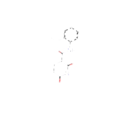 COc1ccccc1NC(=O)C1CCC(=O)NC1=O